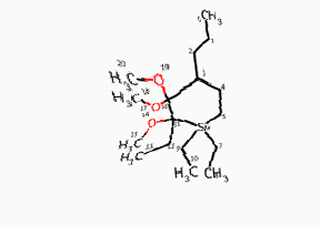 CCCC1CC[Si](CC)(CC)C(CC)(OC)C1(OC)OC